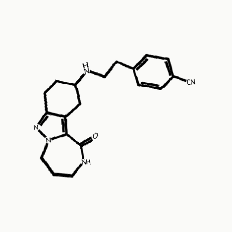 N#Cc1ccc(CCNC2CCc3nn4c(c3C2)C(=O)NCCC4)cc1